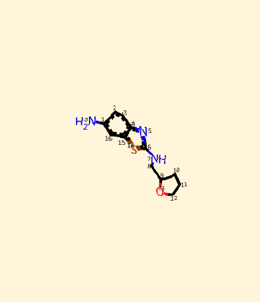 Nc1c[c]c2nc(NCC3CCCO3)sc2c1